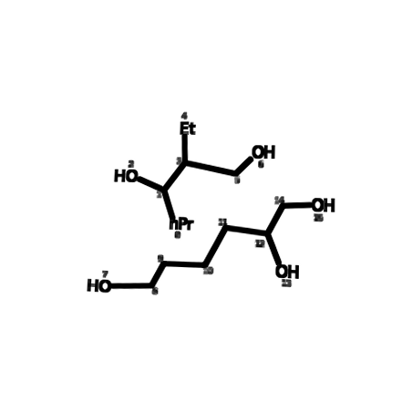 CCCC(O)C(CC)CO.OCCCCC(O)CO